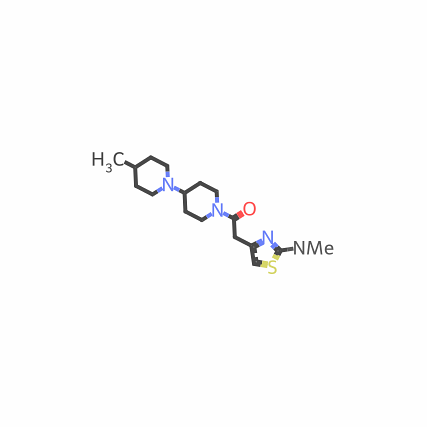 CNc1nc(CC(=O)N2CCC(N3CCC(C)CC3)CC2)cs1